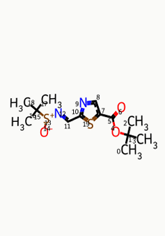 CC(C)(C)OC(=O)c1cnc(C=N[S+]([O-])C(C)(C)C)s1